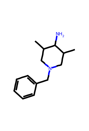 CC1CN(Cc2ccccc2)CC(C)C1N